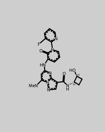 CNc1cc(Nc2cccn(-c3ncccc3F)c2=O)nc2c(C(=O)N[C@H]3CC[C@@H]3O)cnn12